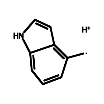 [CH2]c1cccc2[nH]ccc12.[H+]